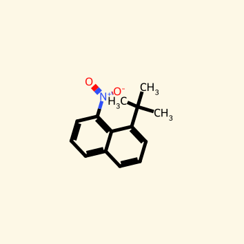 CC(C)(C)c1cccc2cccc([N+](=O)[O-])c12